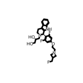 OC[C@H](O)CN1CCc2c([nH]c3ccccc23)[C@H]1c1c(F)cc(OCCN2CC(CF)C2)cc1F